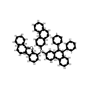 c1ccc(-c2c(-c3ccccc3)c3cc(N(c4ccc5c(ccc6ccccc65)c4)c4cccc5c4oc4c6ccccc6ccc54)ccc3c3ccccc23)cc1